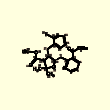 COC(=O)c1cccnc1C[C@@H]1OC(C)(C)N(C(=O)OC(C)(C)C)[C@@H]1Cc1ccccc1F